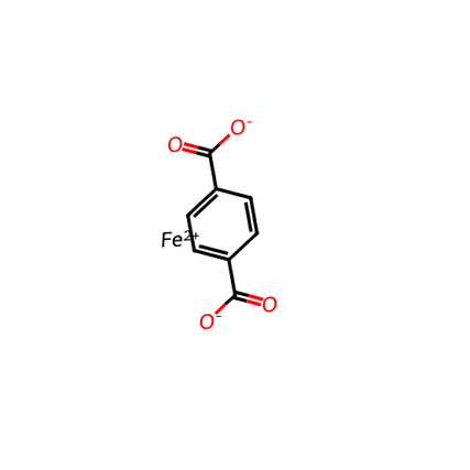 O=C([O-])c1ccc(C(=O)[O-])cc1.[Fe+2]